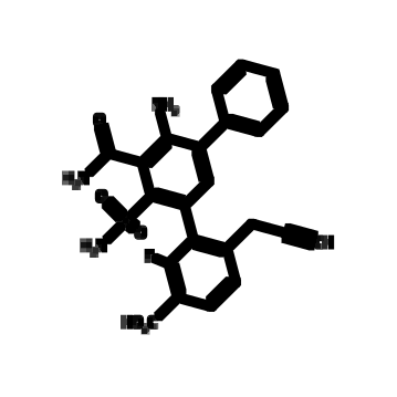 C#CCc1ccc(C(=O)O)c(F)c1-c1cc(-c2ccccc2)c(N)c(C(N)=O)c1S(N)(=O)=O